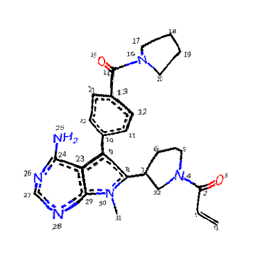 C=CC(=O)N1CCC(c2c(-c3ccc(C(=O)N4CCCC4)cc3)c3c(N)ncnc3n2C)C1